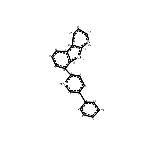 c1ccc(-c2ccc(-c3cccc4c3oc3ncccc34)nc2)cc1